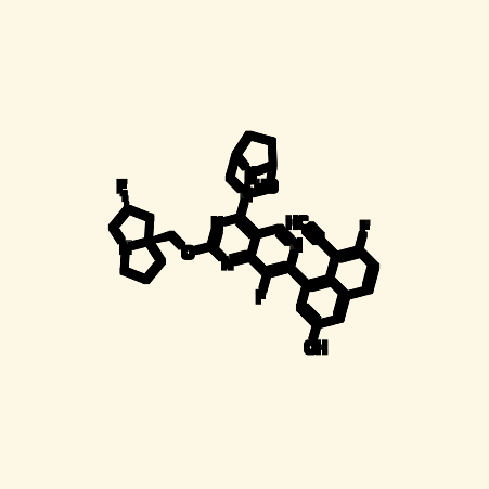 C#Cc1c(F)ccc2cc(O)cc(-c3ncc4c(N5CC6CCC(C5)N6C=O)nc(OC[C@@]56CCCN5C[C@H](F)C6)nc4c3F)c12